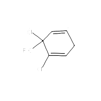 FC(F)(F)C1(Cl)C=CCC=C1Cl